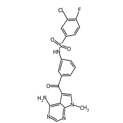 Cn1cc(C(=O)c2cccc(NS(=O)(=O)c3ccc(F)c(Cl)c3)c2)c2c(N)ncnc21